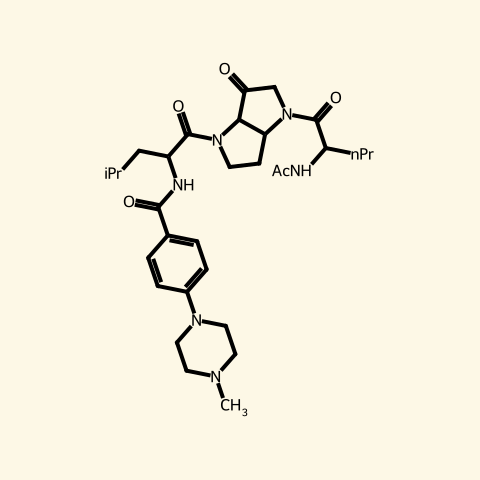 CCCC(NC(C)=O)C(=O)N1CC(=O)C2C1CCN2C(=O)C(CC(C)C)NC(=O)c1ccc(N2CCN(C)CC2)cc1